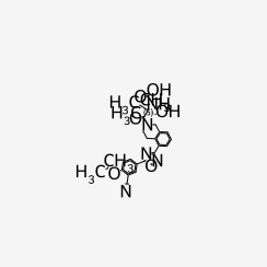 CC(C)Oc1ccc(-c2nc(-c3cccc4c3CCN(C(=O)[C@](CO)(NC(=O)O)C(C)(C)C)C4)no2)cc1C#N